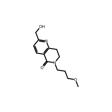 COCCCN1CCc2nc(CO)ccc2C1=O